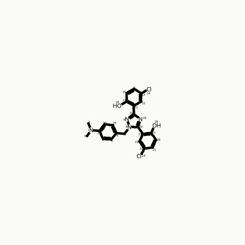 CN(C)c1ccc(Cn2nc(-c3cc(Cl)ccc3O)nc2-c2cc(Cl)ccc2O)cc1